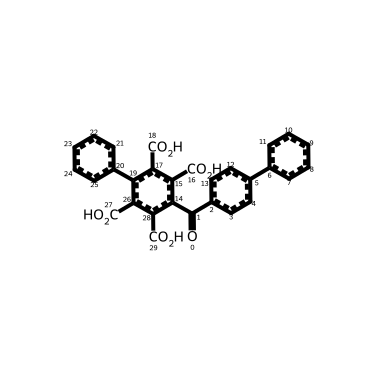 O=C(c1ccc(-c2ccccc2)cc1)c1c(C(=O)O)c(C(=O)O)c(-c2ccccc2)c(C(=O)O)c1C(=O)O